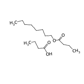 CCCC(=O)O.CCCCCCCCOC(=O)CCC